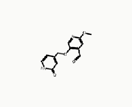 COc1cc(C=O)c(OCc2cc[nH]c(=O)c2)cn1